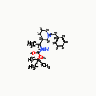 CC(NC(=O)OC(C)(C)C)C1CCCN(Cc2ccccc2)C1